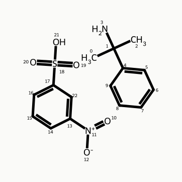 CC(C)(N)c1ccccc1.O=[N+]([O-])c1cccc(S(=O)(=O)O)c1